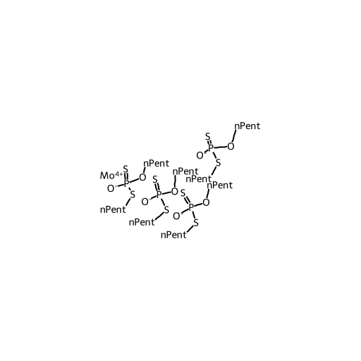 CCCCCOP([O-])(=S)SCCCCC.CCCCCOP([O-])(=S)SCCCCC.CCCCCOP([O-])(=S)SCCCCC.CCCCCOP([O-])(=S)SCCCCC.[Mo+4]